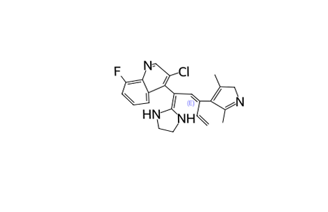 C=C/C(=C\C(=C1NCCN1)c1c(Cl)cnc2c(F)cccc12)C1=C(C)CN=C1C